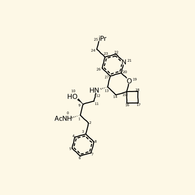 CC(=O)N[C@@H](Cc1ccccc1)[C@@H](O)CN[C@H]1CC2(CCC2)Oc2ncc(CC(C)C)cc21